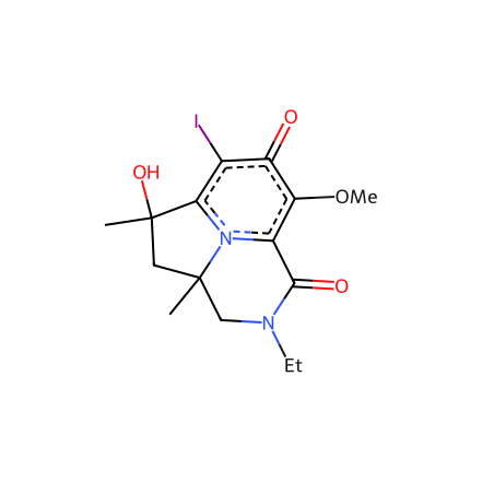 CCN1CC2(C)CC(C)(O)c3c(I)c(=O)c(OC)c(n32)C1=O